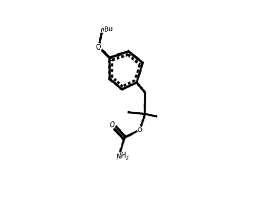 CCCCOc1ccc(CC(C)(C)OC(N)=O)cc1